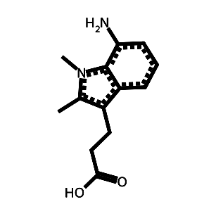 Cc1c(CCC(=O)O)c2cccc(N)c2n1C